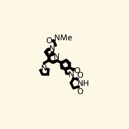 CNC(=O)Cn1ccc2c(CN3CCCC3)cc(-c3ccc4c(c3)CN(C3CCC(=O)NC3=O)C4=O)nc21